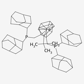 CC(C)(C)[C]12[CH]3[CH]4[CH]5[CH]1[Fe]45321678[CH]2[CH]1[C]6(CP(C1C3CC4CC(C3)CC1C4)C1C3CC4CC(C3)CC1C4)[C]7(CP(C1C3CC4CC(C3)CC1C4)C1C3CC4CC(C3)CC1C4)[CH]28